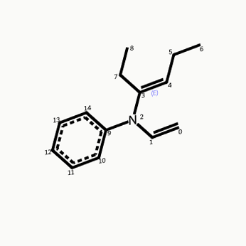 C=CN(/C(=C/CC)CC)c1ccccc1